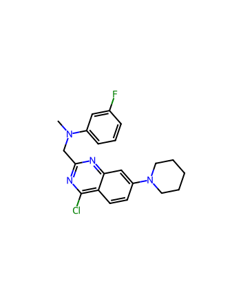 CN(Cc1nc(Cl)c2ccc(N3CCCCC3)cc2n1)c1cccc(F)c1